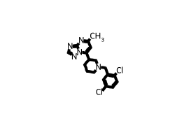 Cc1cc(C2CCCN(Cc3cc(Cl)ccc3Cl)C2)n2ncnc2n1